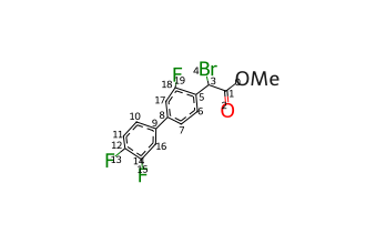 COC(=O)C(Br)c1ccc(-c2ccc(F)c(F)c2)cc1F